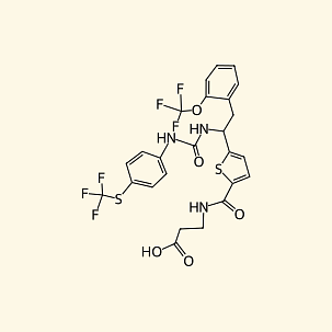 O=C(O)CCNC(=O)c1ccc(C(Cc2ccccc2OC(F)(F)F)NC(=O)Nc2ccc(SC(F)(F)F)cc2)s1